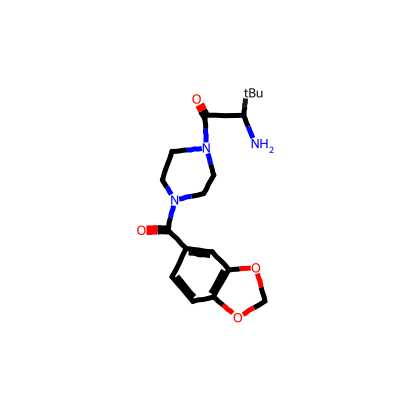 CC(C)(C)C(N)C(=O)N1CCN(C(=O)c2ccc3c(c2)OCO3)CC1